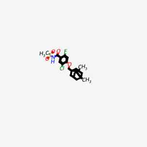 CC12CC3CC(C)(C1)CC(COc1cc(F)c(C(=O)NS(C)(=O)=O)cc1Cl)(C3)C2